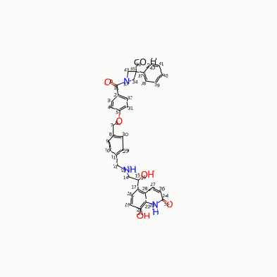 O=C(c1ccc(OCc2ccc(CNCC(O)c3ccc(O)c4[nH]c(=O)ccc34)cc2)cc1)N1CC(C(=O)O)(c2ccccc2)C1